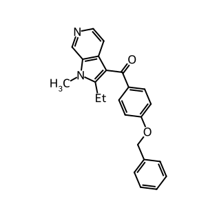 CCc1c(C(=O)c2ccc(OCc3ccccc3)cc2)c2ccncc2n1C